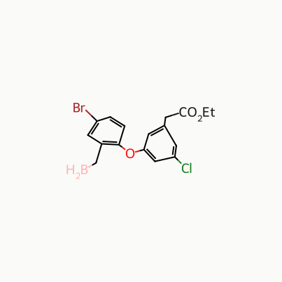 BCc1cc(Br)ccc1Oc1cc(Cl)cc(CC(=O)OCC)c1